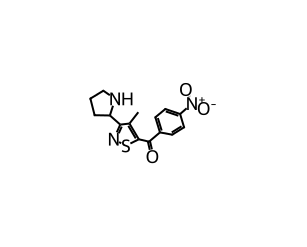 Cc1c(C2CCCN2)nsc1C(=O)c1ccc([N+](=O)[O-])cc1